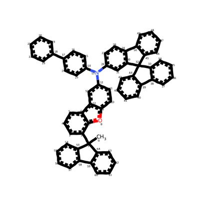 CC1(c2cccc3c2oc2ccc(N(c4ccc(-c5ccccc5)cc4)c4ccc5c(c4)C4(c6ccccc6-c6ccccc64)c4ccccc4-5)cc23)c2ccccc2-c2ccccc21